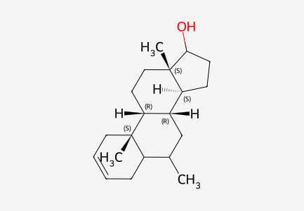 CC1C[C@@H]2[C@@H](CC[C@]3(C)C(O)CC[C@@H]23)[C@@]2(C)CC=CCC12